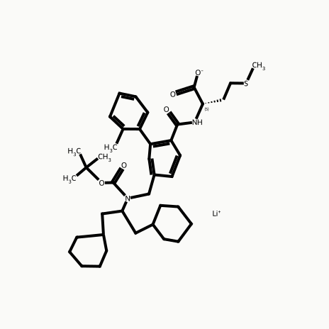 CSCC[C@H](NC(=O)c1ccc(CN(C(=O)OC(C)(C)C)C(CC2CCCCC2)CC2CCCCC2)cc1-c1ccccc1C)C(=O)[O-].[Li+]